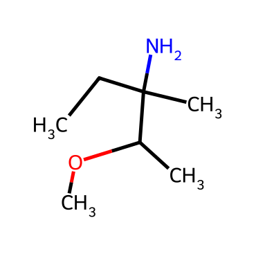 CCC(C)(N)C(C)OC